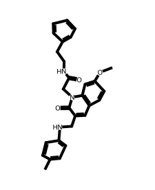 COc1ccc2cc(CNc3ccc(C)cc3)c(=O)n(CC(=O)NCCc3ccccc3)c2c1